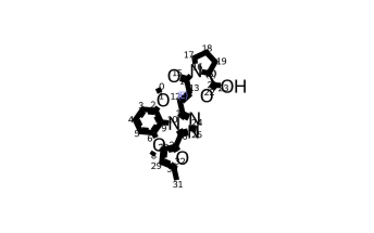 COc1cccc(OC)c1-n1c(/C=C/C(=O)N2CCC[C@H]2C(=O)O)nnc1-c1ccc(C)o1